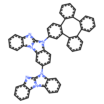 c1ccc2c(c1)-c1ccccc1-c1ccc(-n3c4ccc(-n5c6ccccc6n6c7ccccc7nc56)cc4n4c5ccccc5nc34)cc1-c1ccccc1-2